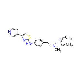 C=C/C(=C\C)CN(C)CCc1ccc(Nc2nc(-c3ccncc3)cs2)cc1